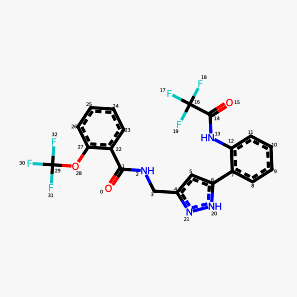 O=C(NCc1cc(-c2ccccc2NC(=O)C(F)(F)F)[nH]n1)c1ccccc1OC(F)(F)F